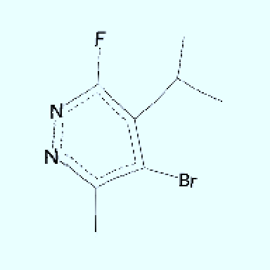 Cc1nnc(F)c(C(C)C)c1Br